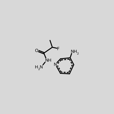 CC(F)C(=O)NN.Nc1cccnc1